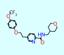 O=C(NCC1CCOCC1)c1ccc(CCOc2ccc(OC(F)(F)F)cc2)cn1